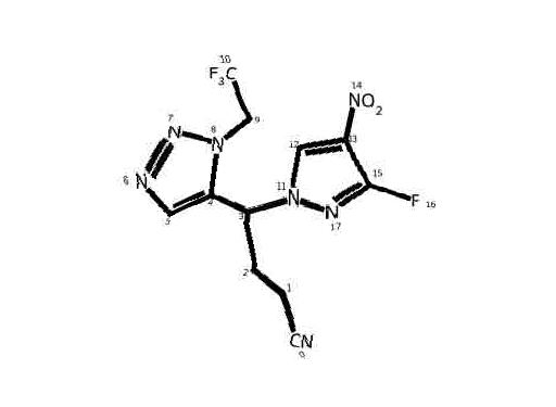 N#CCCC(c1cnnn1CC(F)(F)F)n1cc([N+](=O)[O-])c(F)n1